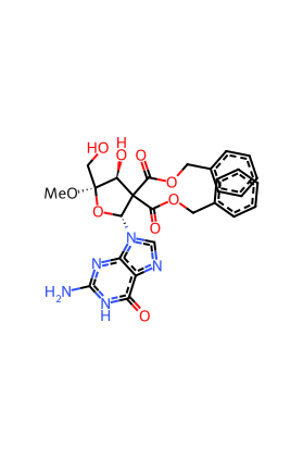 CO[C@@]1(CO)O[C@@H](n2cnc3c(=O)[nH]c(N)nc32)C(C(=O)OCc2ccccc2)(C(=O)OCc2ccccc2)[C@@H]1O